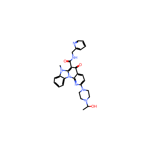 CC(O)N1CCN(c2ccc3c(=O)c(C(=O)NCc4ccccn4)c4n(C)c5ccccc5n4c3n2)CC1